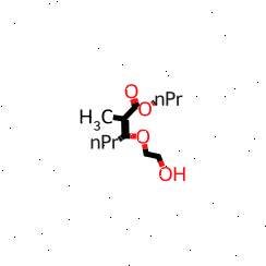 CCCOC(=O)C(C)=C(CCC)OCCO